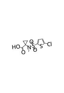 CN(C1(C(=O)O)CC1)S(=O)(=O)c1ccc(Cl)s1